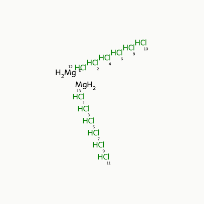 Cl.Cl.Cl.Cl.Cl.Cl.Cl.Cl.Cl.Cl.Cl.Cl.[MgH2].[MgH2]